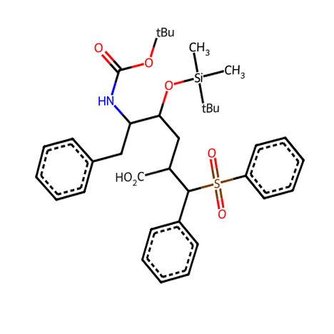 CC(C)(C)OC(=O)NC(Cc1ccccc1)C(CC(C(=O)O)C(c1ccccc1)S(=O)(=O)c1ccccc1)O[Si](C)(C)C(C)(C)C